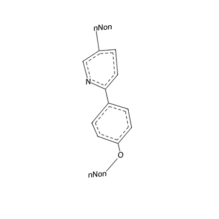 CCCCCCCCCOc1ccc(-c2ccc(CCCCCCCCC)cn2)cc1